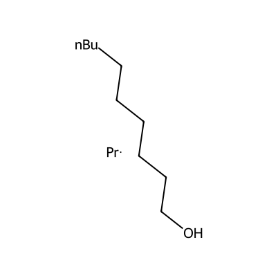 CCCCCCCCCCO.[Pr]